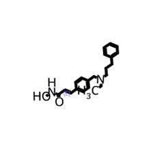 CCN(CCCc1ccccc1)Cc1ccc(/C=C/C(=O)NO)cc1